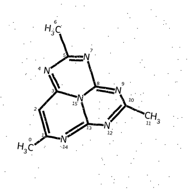 CC1=CC2=NC(C)=NC3=NC(C)=NC(=N1)N23